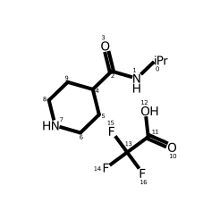 CC(C)NC(=O)C1CCNCC1.O=C(O)C(F)(F)F